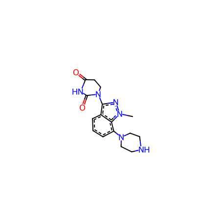 Cn1nc(N2CCC(=O)NC2=O)c2cccc(N3CCNCC3)c21